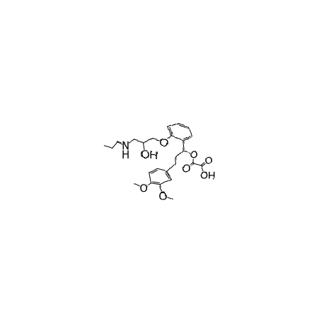 CCCNCC(O)COc1ccccc1C(CCc1ccc(OC)c(OC)c1)OC(=O)C(=O)O